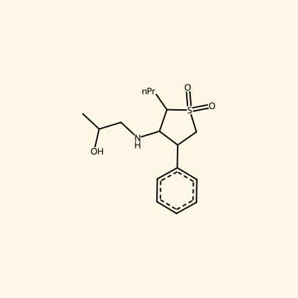 CCCC1C(NCC(C)O)C(c2ccccc2)CS1(=O)=O